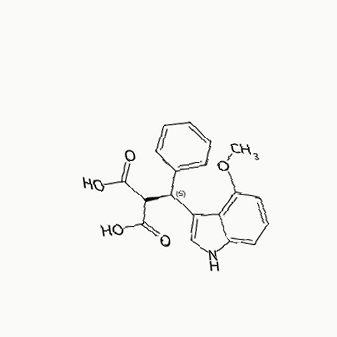 COc1cccc2[nH]cc([C@H](c3ccccc3)C(C(=O)O)C(=O)O)c12